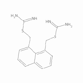 N=C(N)SCc1cccc2cccc(CSC(=N)N)c12